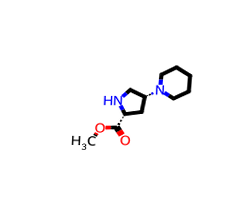 COC(=O)[C@H]1C[C@@H](N2CCCCC2)CN1